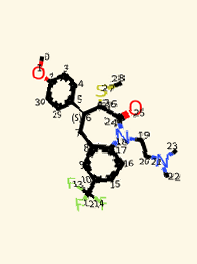 COc1ccc([C@@H]2Cc3cc(C(F)(F)F)ccc3N(CCN(C)C)C(=O)[C@H]2SC)cc1